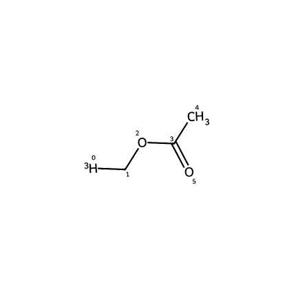 [3H]COC(C)=O